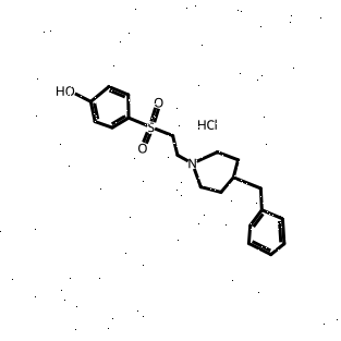 Cl.O=S(=O)(CCN1CCC(Cc2ccccc2)CC1)c1ccc(O)cc1